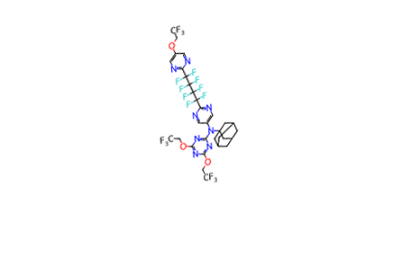 FC(F)(F)COc1cnc(C(F)(F)C(F)(F)C(F)(F)C(F)(F)c2ncc(N(c3nc(OCC(F)(F)F)nc(OCC(F)(F)F)n3)C34CC5CC(CC(C5)C3)C4)cn2)nc1